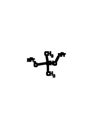 CCC[O][BiH]([CH3])([CH3])[O]CCC